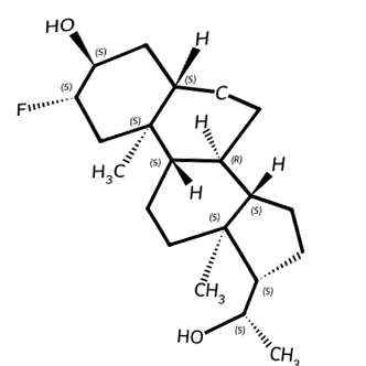 C[C@H](O)[C@H]1CC[C@H]2[C@@H]3CC[C@H]4C[C@H](O)[C@@H](F)C[C@]4(C)[C@H]3CC[C@]12C